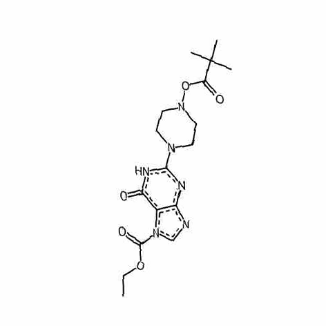 CCOC(=O)n1cnc2nc(N3CCN(OC(=O)C(C)(C)C)CC3)[nH]c(=O)c21